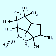 CC1(C)C2CC(N)C(C)(C)C2(C)C(C)(C)C1(C)N.O.O